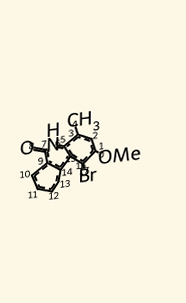 COc1cc(C)c2[nH]c(=O)c3ccccc3c2c1Br